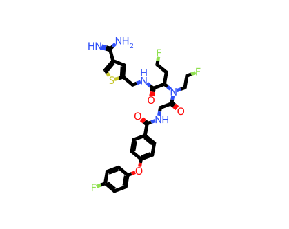 N=C(N)c1csc(CNC(=O)C(CCF)N(CCF)C(=O)CNC(=O)c2ccc(Oc3ccc(F)cc3)cc2)c1